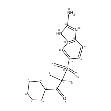 CC(C)(C(=O)C1CCCCC1)S(=O)(=O)c1ccc2nc(N)[nH]c2c1